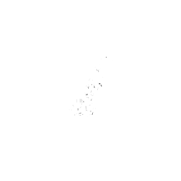 COC1CN(C2COc3c(S(=O)(=O)NC(=O)Nc4c5c(nc6c4CCC6(C)C)CCC5)cnn3C2)C1